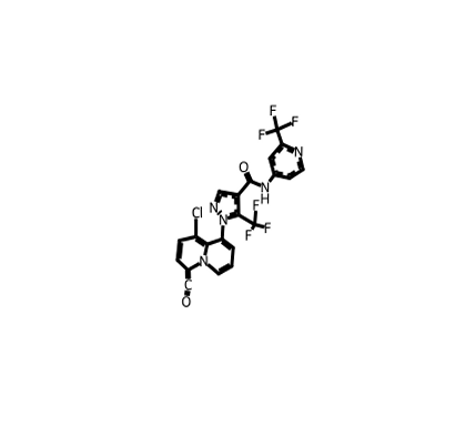 O=C=C1C=CC(Cl)=C2C(n3ncc(C(=O)Nc4ccnc(C(F)(F)F)c4)c3C(F)(F)F)=CC=CN12